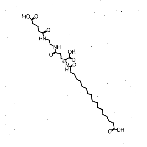 O=C(O)CCCCCCCCCCCCCCCCC(=O)N[C@@H](CCC(=O)NCCNC(=O)CCCC(=O)O)C(=O)O